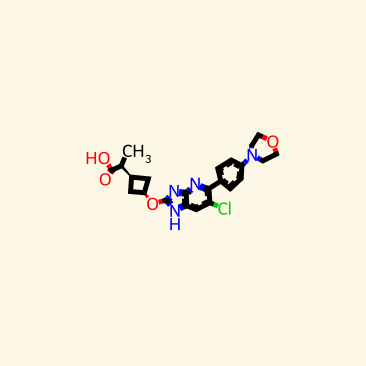 CC(C(=O)O)[C@H]1C[C@@H](Oc2nc3nc(-c4ccc(N5CCOCC5)cc4)c(Cl)cc3[nH]2)C1